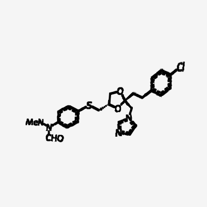 CNN(C=O)c1ccc(SC[C@@H]2CO[C@](CCc3ccc(Cl)cc3)(Cn3ccnc3)O2)cc1